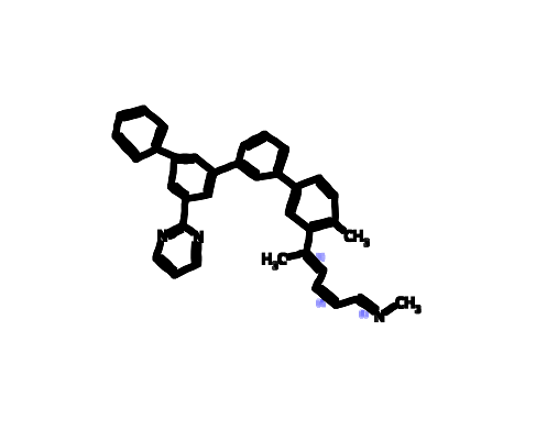 C/N=C/C=C\C=C(/C)c1cc(-c2cccc(-c3cc(-c4ccccc4)cc(-c4ncccn4)c3)c2)ccc1C